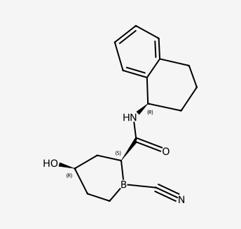 N#CB1CC[C@@H](O)C[C@H]1C(=O)N[C@@H]1CCCc2ccccc21